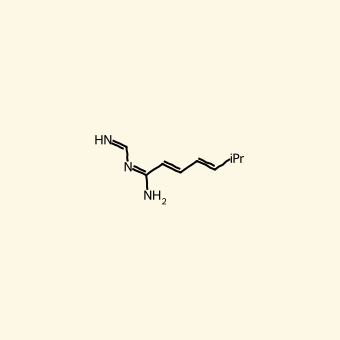 CC(C)/C=C/C=C/C(N)=N\C=N